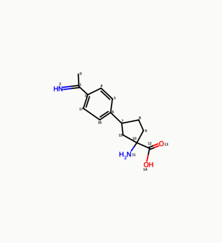 CC(=N)c1ccc(C2CCC(N)(C(=O)O)C2)cc1